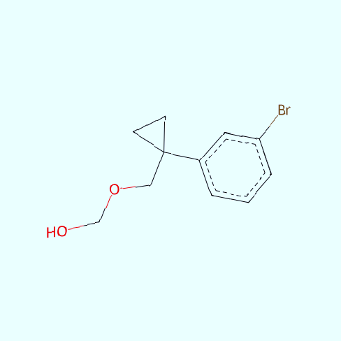 OCOCC1(c2cccc(Br)c2)CC1